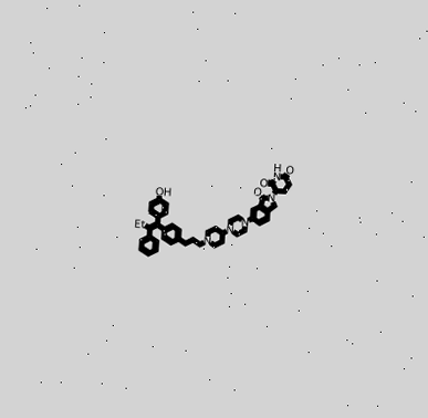 CC/C(=C(\c1ccc(O)cc1)c1ccc(CCCN2CCC(N3CCN(c4ccc5c(c4)C(=O)N(C4CCC(=O)NC4=O)C5)CC3)CC2)cc1)c1ccccc1